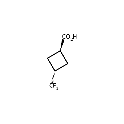 O=C(O)[C@H]1C[C@H](C(F)(F)F)C1